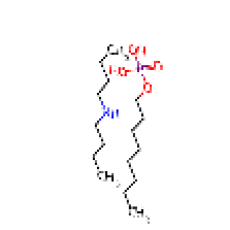 CCCCCCCCOP(=O)(O)O.CCCCNCCCC